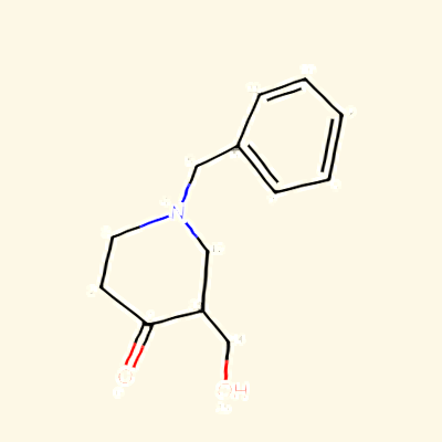 O=C1CCN(Cc2ccccc2)CC1CO